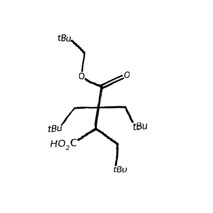 CC(C)(C)COC(=O)C(CC(C)(C)C)(CC(C)(C)C)C(CC(C)(C)C)C(=O)O